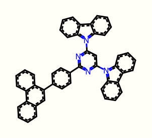 c1ccc2c(c1)cc(-c1ccc(-c3nc(-n4c5ccccc5c5ccccc54)cc(-n4c5ccccc5c5ccccc54)n3)cc1)c1ccccc12